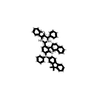 CC1(C)c2ccccc2-c2ccc(N(c3ccccc3)c3ccc(C4Nc5c(oc6ccccc56)C(c5ccccc5)N4)c4c3oc3c5ccccc5ccc34)cc21